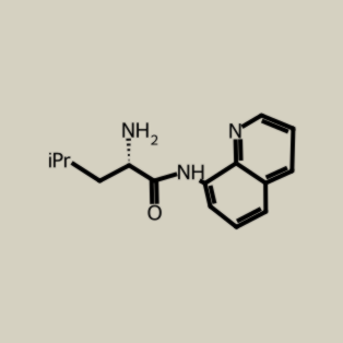 CC(C)C[C@H](N)C(=O)Nc1cccc2cccnc12